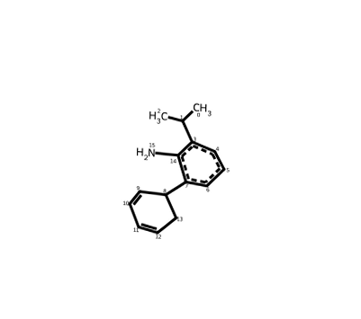 CC(C)c1cccc(C2C=CC=CC2)c1N